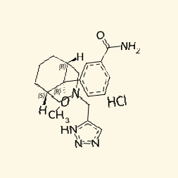 CO[C@@]1(c2cccc(C(N)=O)c2)[C@@H]2CCC[C@H]1CN(Cc1cnn[nH]1)C2.Cl